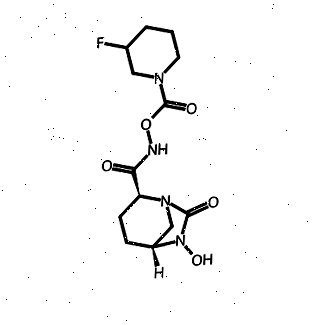 O=C(NOC(=O)N1CCCC(F)C1)[C@@H]1CC[C@@H]2CN1C(=O)N2O